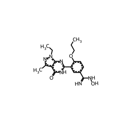 CCCOc1ccc(C(=N)NO)cc1-c1nc2c(c(C)nn2CC)c(=O)[nH]1